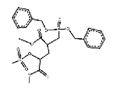 COC(=O)C(CC(OS(C)(=O)=O)C(=O)OC)CP(=O)(OCc1ccccc1)OCc1ccccc1